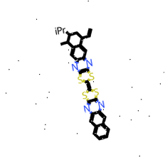 C=CC1CC(C(C)C)C(C)c2cc3nc4c(nc3cc21)SC(=C1Sc2nc3cc5ccccc5cc3nc2S1)S4